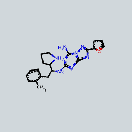 Cc1ccccc1CC(Nc1nc(N)n2nc(-c3ccco3)nc2n1)C1CCCN1